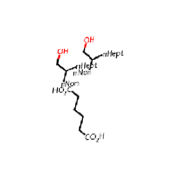 CCCCCCCCCC(CO)CCCCCCC.CCCCCCCCCC(CO)CCCCCCC.O=C(O)CCCCC(=O)O